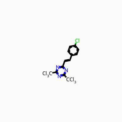 Clc1ccc(C=Cc2nc(C(Cl)(Cl)Cl)nc(C(Cl)(Cl)Cl)n2)cc1